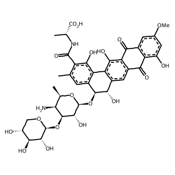 COc1cc(O)c2c(c1)C(=O)c1c(cc3c(c1O)-c1c(cc(C)c(C(=O)N[C@H](C)C(=O)O)c1O)[C@H](O[C@@H]1O[C@H](C)[C@H](N)[C@H](O[C@@H]4OC[C@@H](O)[C@H](O)[C@H]4O)[C@H]1O)[C@H]3O)C2=O